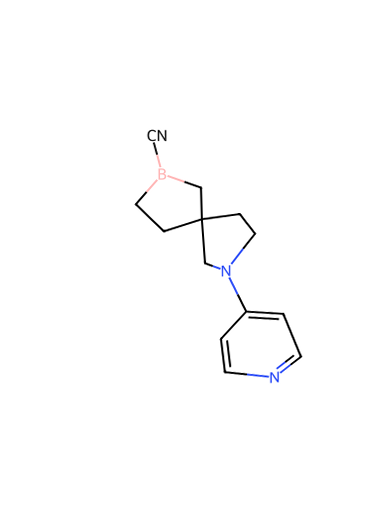 N#CB1CCC2(CCN(c3ccncc3)C2)C1